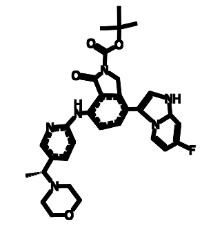 C[C@H](c1ccc(Nc2ccc(C3=CNC4C=C(F)C=CN34)c3c2C(=O)N(C(=O)OC(C)(C)C)C3)nc1)N1CCOCC1